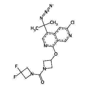 CC(C)(N=[N+]=[N-])c1cnc(OC2CN(C(=O)N3CC(F)(F)C3)C2)c2cnc(Cl)cc12